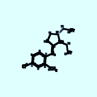 Cc1cc(Cl)ccc1/N=C1\SC[C@H](CC(C)C)N1CC(C)C